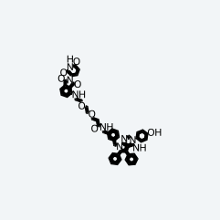 N=c1c2c(-c3ccccc3)c(-c3ccccc3)n(Cc3cccc(CNC(=O)CCOCCOCCNc4cccc5c4C(=O)N(C4CCC(=O)NC4=O)C5=O)c3)c2ncn1[C@H]1CC[C@H](O)CC1